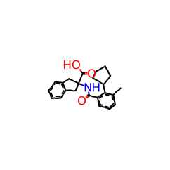 Cc1cccc(C(=O)NC2(C(=O)O)Cc3ccccc3C2)c1C1CCCC1